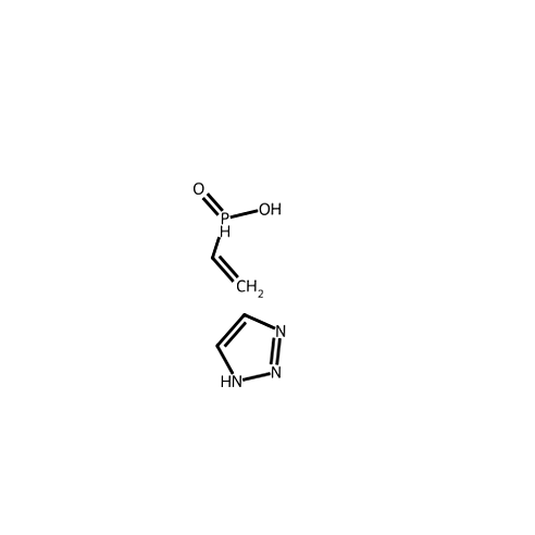 C=C[PH](=O)O.c1c[nH]nn1